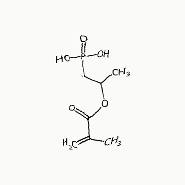 C=C(C)C(=O)OC(C)[CH]P(=O)(O)O